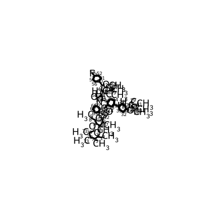 CCC1O[C@@H](O[C@@H]2C(CC)O[C@@H](CS(=O)(=O)Oc3cc(-c4ccc(O[Si](C)(C)C(C)(C)C)cc4)ccc3[C@@H]3[C@@H](CC[C@H](O[Si](C)(C)C(C)(C)C)c4ccc(F)cc4)C(=O)N3c3ccccc3)C(C)[C@H]2C)C(C)[C@@H](C)[C@@H]1C